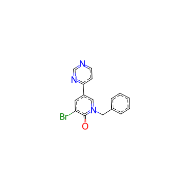 O=c1c(Br)cc(-c2ccncn2)cn1Cc1ccccc1